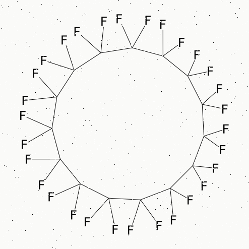 FC1(F)C(F)(F)C(F)(F)C(F)(F)C(F)(F)C(F)(F)C(F)(F)C(F)(F)C(F)(F)C(F)(F)C(F)(F)C(F)(F)C(F)(F)C(F)(F)C1(F)F